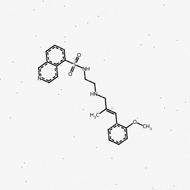 COc1ccccc1/C=C(\C)CNCCNS(=O)(=O)c1cccc2cnccc12